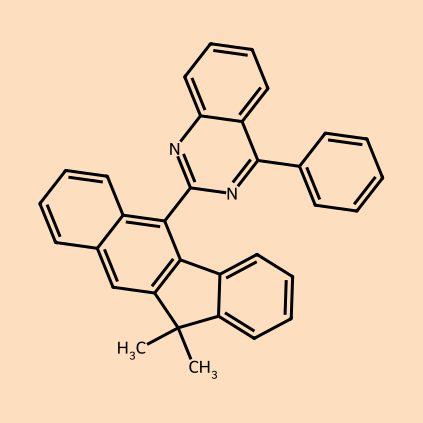 CC1(C)c2ccccc2-c2c1cc1ccccc1c2-c1nc(-c2ccccc2)c2ccccc2n1